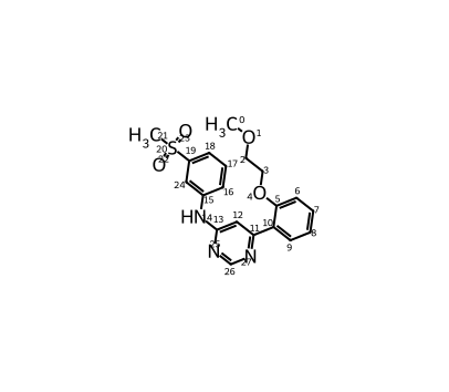 COCCOc1ccccc1-c1cc(Nc2cccc(S(C)(=O)=O)c2)ncn1